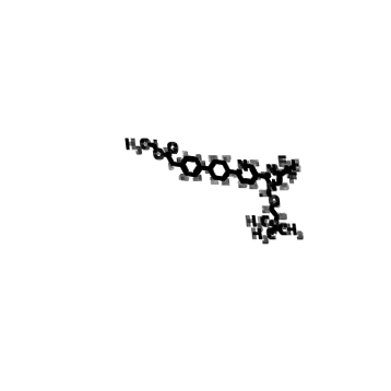 CCOC(=O)Cc1ccc(C2CCC(c3ccc(-c4nc(C(F)(F)F)cn4COCC[Si](C)(C)C)cn3)CC2)cc1